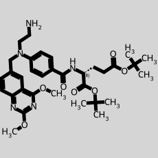 COc1nc(OC)c2cc(CN(CCN)c3ccc(C(=O)N[C@H](CCC(=O)OC(C)(C)C)C(=O)OC(C)(C)C)cc3)ccc2n1